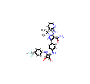 CC(C)(C)n1nc(-c2ccc(Nc3c(Nc4ccc(C(F)(F)F)cc4)c(=O)c3=O)cc2)c(C(N)=O)c1Nc1ccccn1